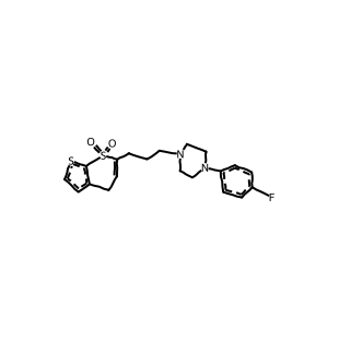 O=S1(=O)C(CCCN2CCN(c3ccc(F)cc3)CC2)=CCc2ccsc21